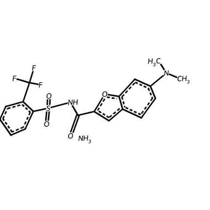 CN(C)c1ccc2cc(C(=O)NS(=O)(=O)c3ccccc3C(F)(F)F)oc2c1.N